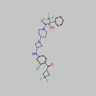 O=C(c1ccc(NC2CN(C3CCN(C(=O)[C@](O)(c4ccccc4)C(F)(F)F)CC3)C2)cc1Cl)C1CC(F)(F)C1